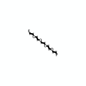 FCCOCCOCCOCCOCCF